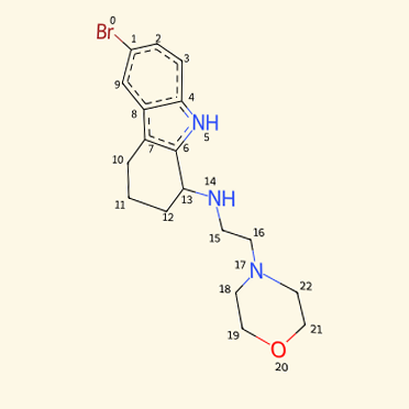 Brc1ccc2[nH]c3c(c2c1)CCCC3NCCN1CCOCC1